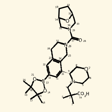 CC(C)(CN1CCOC[C@H]1c1cc(B2OC(C)(C)C(C)(C)O2)cc2c1CN(C(=O)N1CC3CCC(C1)O3)CC2)C(=O)O